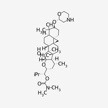 CC(C)[C@@H](OC(=O)N(C)C)[C@H]1C[C@@H](C)[C@H]2[C@H](O1)[C@H](O)[C@@]1(C)[C@@H]3CC[C@H]4C(C)(C)C(O[C@H]5CNCCO5)CC[C@@]45C[C@@]35CC[C@]21C